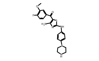 COc1cc(C(=O)c2sc(Nc3ccc(N4CCNCC4)cc3)nc2N)ccc1F